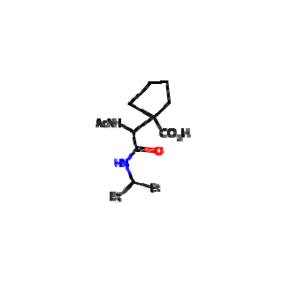 CCC(CC)NC(=O)C(NC(C)=O)C1(C(=O)O)CCCC1